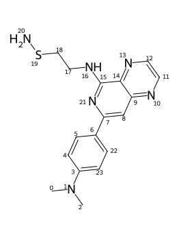 CN(C)c1ccc(-c2cc3nccnc3c(NCCSN)n2)cc1